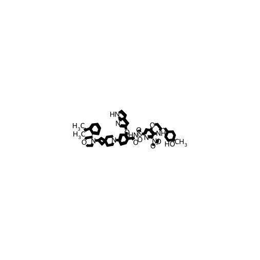 CC(C)c1ccccc1[C@H]1COCCN1C1CC2(CCN(c3ccc(C(=O)NS(=O)(=O)c4cc5c(c([N+](=O)[O-])n4)N[C@@H](CC4CCC(C)(O)CC4)CO5)c(Oc4cnc5[nH]ccc5c4)c3)CC2)C1